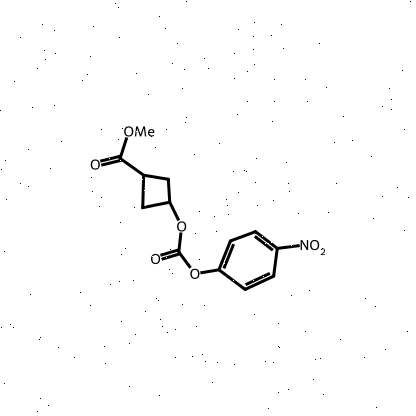 COC(=O)C1CC(OC(=O)Oc2ccc([N+](=O)[O-])cc2)C1